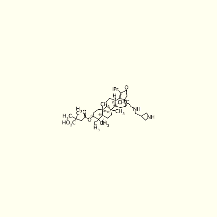 CC(C)C1=C2[C@H]3CCC4[C@@]5(C)CC[C@H](OC(=O)CC(C)(C)C(=O)O)C(C)(C)[C@@H]5CC[C@@]4(C)[C@]3(C)CC[C@@]2(CCNCC2CNC2)CC1=O